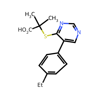 CCc1ccc(-c2cncnc2SC(C)(C)C(=O)O)cc1